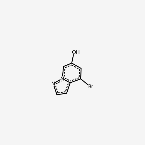 Oc1cc(Br)c2ccnn2c1